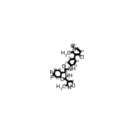 Cc1nocc1C(=O)N[C@H](C(=O)Nc1ccc(-c2c(Cl)cc[n+]([O-])c2C)cc1)C1CCC(F)(F)CC1